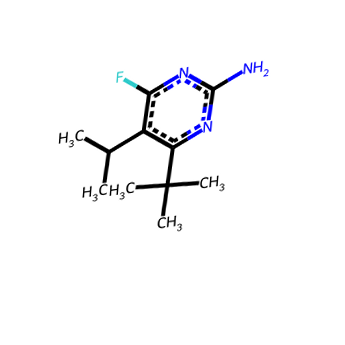 CC(C)c1c(F)nc(N)nc1C(C)(C)C